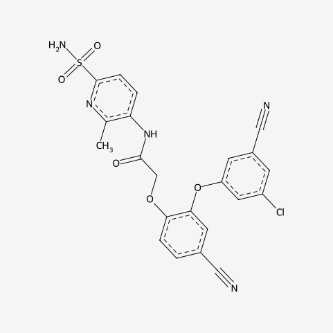 Cc1nc(S(N)(=O)=O)ccc1NC(=O)COc1ccc(C#N)cc1Oc1cc(Cl)cc(C#N)c1